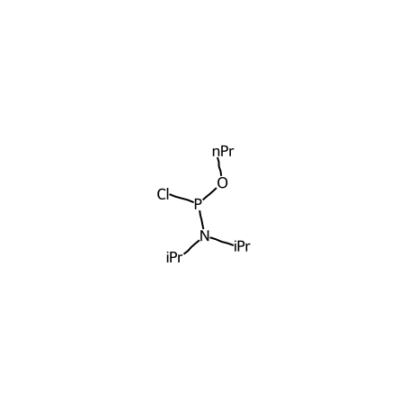 CCCOP(Cl)N(C(C)C)C(C)C